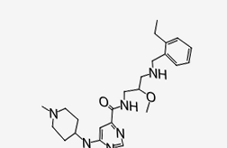 CCc1ccccc1CNCC(CNC(=O)c1cc(NC2CCN(C)CC2)ncn1)OC